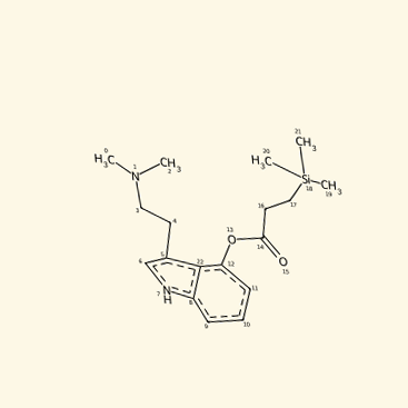 CN(C)CCc1c[nH]c2cccc(OC(=O)CC[Si](C)(C)C)c12